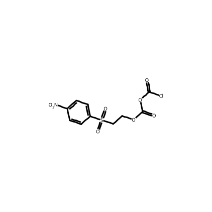 O=C(Cl)OC(=O)OCCS(=O)(=O)c1ccc([N+](=O)[O-])cc1